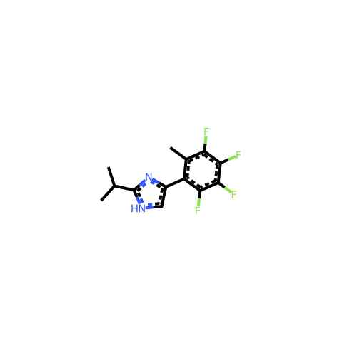 Cc1c(F)c(F)c(F)c(F)c1-c1c[nH]c(C(C)C)n1